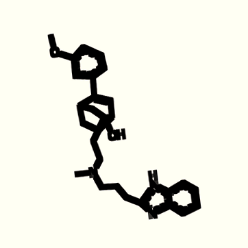 COc1cccc(C2=CC3CCC2CC3(O)CCN(C)CCCc2nc3ccccc3[nH]2)c1